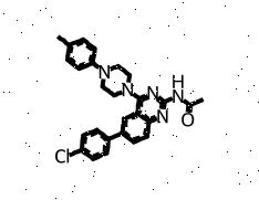 CC(=O)Nc1nc(N2CCN(c3ccc(C)cc3)CC2)c2cc(-c3ccc(Cl)cc3)ccc2n1